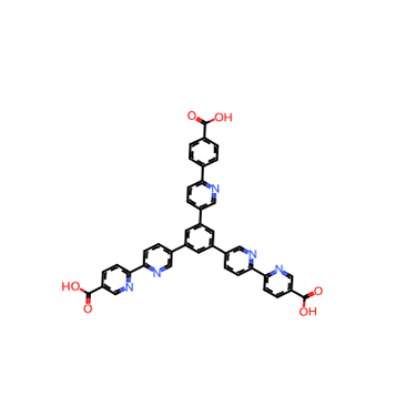 O=C(O)c1ccc(-c2ccc(-c3cc(-c4ccc(-c5ccc(C(=O)O)cn5)nc4)cc(-c4ccc(-c5ccc(C(=O)O)cn5)nc4)c3)cn2)cc1